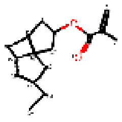 C=C(C)C(=O)OC1CC2CC3CC(CC)CC32C1